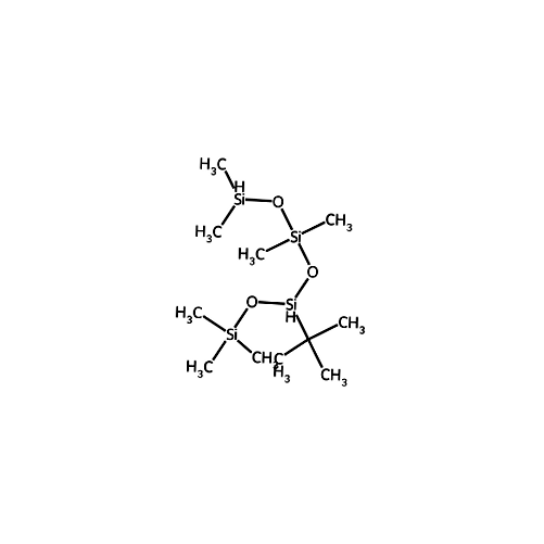 C[SiH](C)O[Si](C)(C)O[SiH](O[Si](C)(C)C)C(C)(C)C